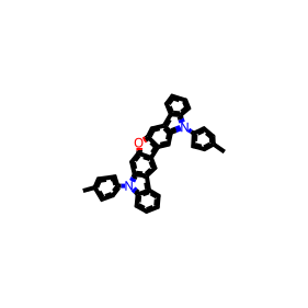 Cc1ccc(-n2c3ccccc3c3cc4c(cc32)oc2cc3c5ccccc5n(-c5ccc(C)cc5)c3cc24)cc1